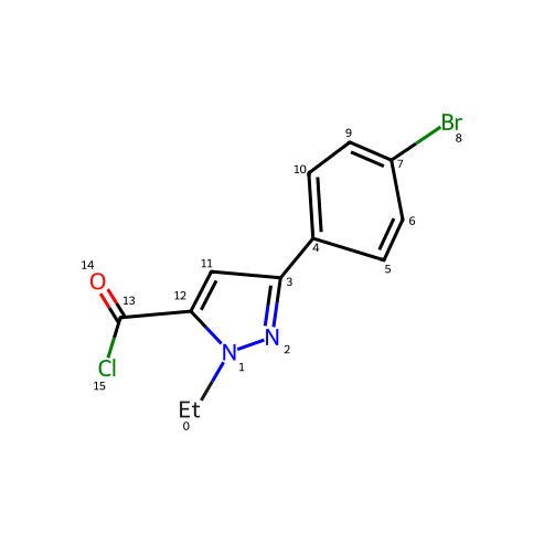 CCn1nc(-c2ccc(Br)cc2)cc1C(=O)Cl